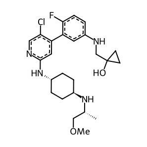 COC[C@@H](C)N[C@H]1CC[C@H](Nc2cc(-c3cc(NCC4(O)CC4)ccc3F)c(Cl)cn2)CC1